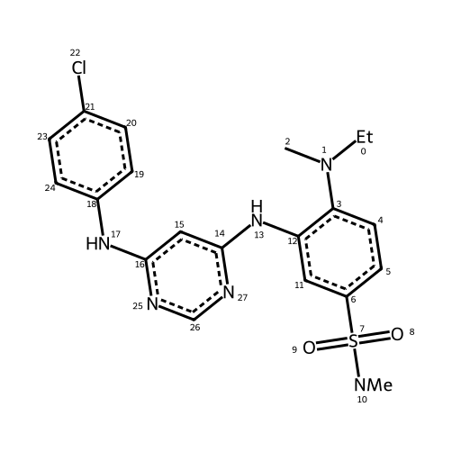 CCN(C)c1ccc(S(=O)(=O)NC)cc1Nc1cc(Nc2ccc(Cl)cc2)ncn1